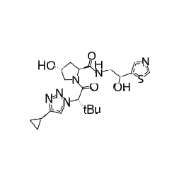 CC(C)(C)[C@@H](C(=O)N1C[C@H](O)C[C@H]1C(=O)NCC(O)c1cncs1)n1cc(C2CC2)nn1